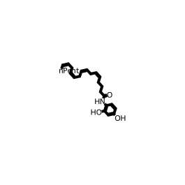 CCCCC/C=C\C/C=C\C/C=C\C/C=C\CCCC(=O)Nc1ccc(O)cc1O